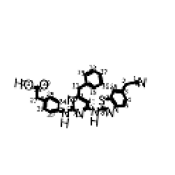 N#CCc1ccc2nc(Nc3cc(Cc4ccccc4)nc(Nc4ccc(CC(=O)O)cc4)n3)sc2c1